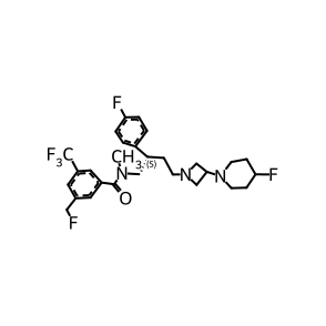 CN(C[C@@H](CCN1CC(N2CCC(F)CC2)C1)c1ccc(F)cc1)C(=O)c1cc(CF)cc(C(F)(F)F)c1